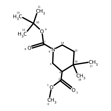 COC(=O)C1CN(C(=O)OC(C)(C)C)CCC1(C)C